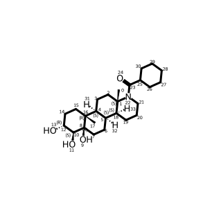 C[C@]12CC[C@H]3[C@H](CC[C@]4(O)[C@@H](O)[C@H](O)CC[C@]34C)[C@@H]1CCCN2C(=O)C1CCCCC1